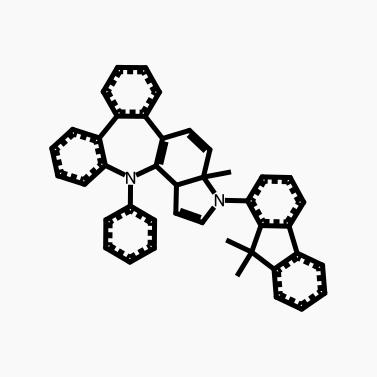 CC1(C)c2ccccc2-c2cccc(N3C=CC4C5=C(C=CC43C)c3ccccc3-c3ccccc3N5c3ccccc3)c21